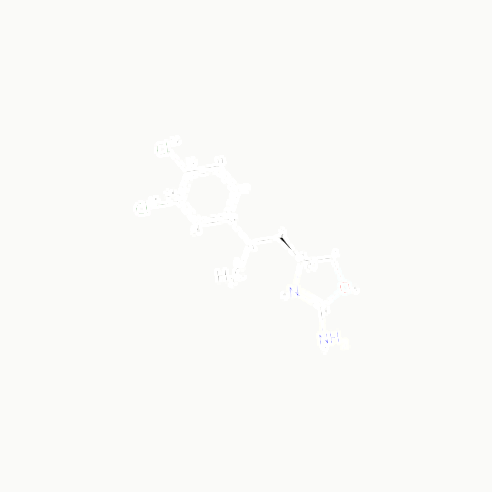 CC(C[C@H]1COC(N)=N1)c1ccc(Cl)c(Cl)c1